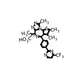 Cc1sc2c(c1C)C(c1ccc(-c3nccc(C(F)(F)F)n3)cc1)=NC([C@H](C)C(=O)O)c1nnc(C)n1-2